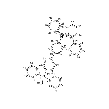 O=P(c1ccccc1)(c1ccccc1)c1ccc(-c2ccc3c(c2)-c2ccccc2-c2cccc4c5ccccc5n-3c24)cc1